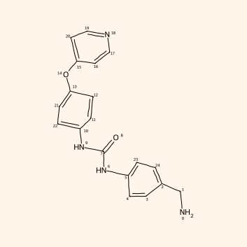 NCc1ccc(NC(=O)Nc2ccc(Oc3ccncc3)cc2)cc1